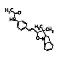 CC(=O)Nc1ccc(C=CC2ON3c4ccccc4CC3C2(C)C)cc1